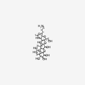 CC(=O)NC1C(OCCCN)OC(CO)C(OC2OC(CO)C(O)C(OC3OC(CO)C(O)C(O)C3O)C2O)C1O